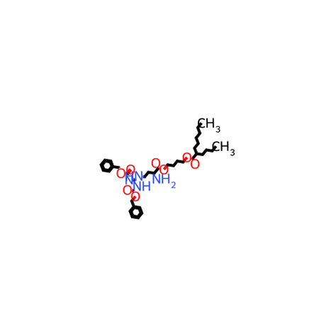 CCCCCCC(CCCC)C(=O)OCCCCOC(=O)[C@@H](N)CCN/C(=N\C(=O)OCc1ccccc1)NC(=O)OCc1ccccc1